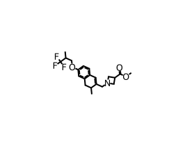 COC(=O)C1CN(CC2=Cc3ccc(OCC(C)C(F)(F)F)cc3CC2C)C1